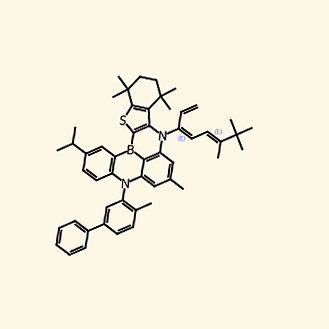 C=C/C(=C\C=C(/C)C(C)(C)C)N1c2cc(C)cc3c2B(c2cc(C(C)C)ccc2N3c2cc(-c3ccccc3)ccc2C)c2sc3c(c21)C(C)(C)CCC3(C)C